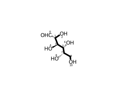 O=C[C@H](O)[C@H](O)[C@H](O)[C@@H](O)CO